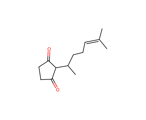 CC(C)=CCCC(C)C1C(=O)CCC1=O